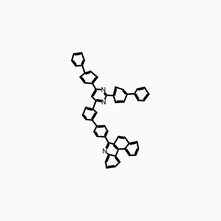 c1ccc(-c2ccc(-c3cc(-c4cccc(-c5ccc(-c6nc7ccccc7c7c6ccc6ccccc67)cc5)c4)nc(-c4ccc(-c5ccccc5)cc4)n3)cc2)cc1